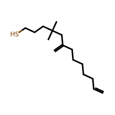 C=CCCCCCC(=C)CC(C)(C)CCCS